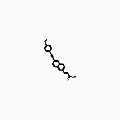 COc1ccc(C#Cc2ccc3cc(/C=C/C(=O)O)ccc3c2)cc1